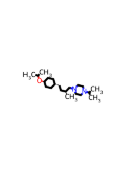 CC(C)O[C@H]1CC[C@H](CC[C@@H](C)CN2CCN(C(C)C)CC2)CC1